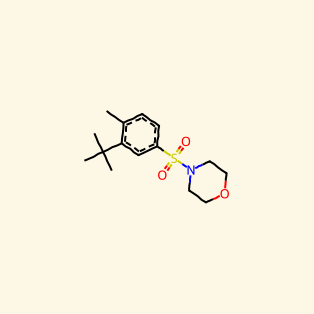 Cc1ccc(S(=O)(=O)N2CCOCC2)cc1C(C)(C)C